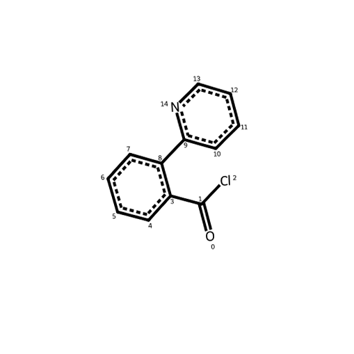 O=C(Cl)c1ccccc1-c1ccccn1